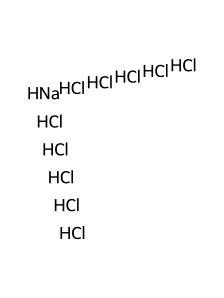 Cl.Cl.Cl.Cl.Cl.Cl.Cl.Cl.Cl.Cl.[NaH]